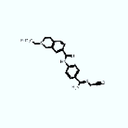 C#CCN=C(N)c1ccc(NC(=O)c2ccc3c(c2)CN(CC(=O)OCC)CC3)cc1